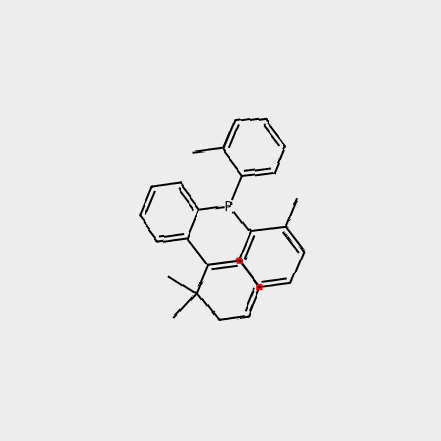 Cc1ccccc1P(c1ccccc1C)c1ccccc1C1=CC=CCC1(C)C